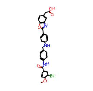 COc1ccc(C(=O)Nc2ccc(CNc3ccc(-c4nc5cc(CC(=O)O)ccc5o4)cc3)cc2)cc1Br